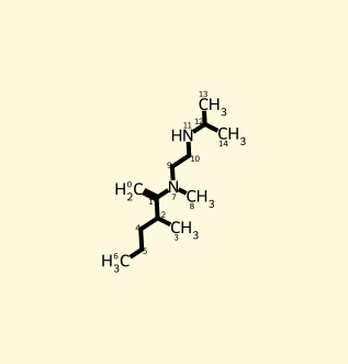 C=C(C(C)CCC)N(C)CCNC(C)C